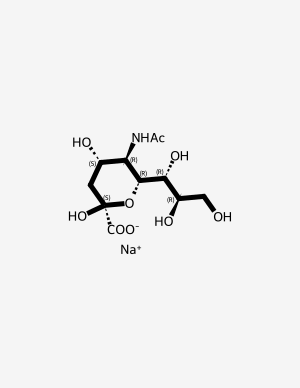 CC(=O)N[C@H]1[C@H]([C@H](O)[C@H](O)CO)O[C@](O)(C(=O)[O-])C[C@@H]1O.[Na+]